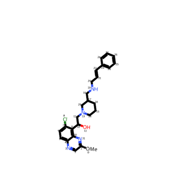 COc1cnc2ccc(Cl)c(C(O)CN3CCCC(CNC/C=C/c4ccccc4)C3)c2n1